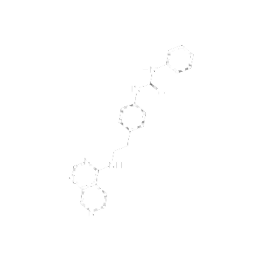 O=C(Nc1ccccc1)Nc1ccc(CCNc2ncnc3cnccc23)cc1